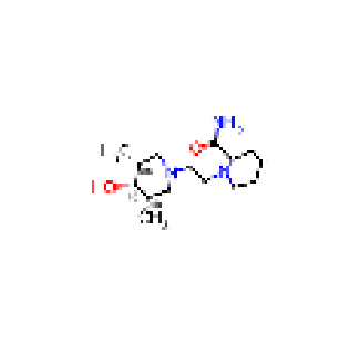 C[C@@H]1CN(CCN2CC[CH]CC2C(N)=O)C[C@H](C)[C@H]1O